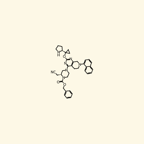 N#CC[C@H]1CN(c2nc(OC3([C@@H]4CCCN4)CC3)nc3c2CCN(c2cccc4ccccc24)C3)CCN1C(=O)OCc1ccccc1